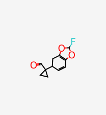 O=CC1(C2C=CC3=C(C2)OC(F)O3)CC1